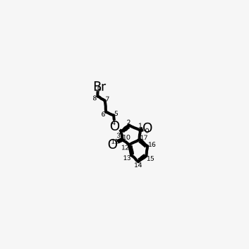 O=C1C=C(OCCCCBr)C(=O)c2ccccc21